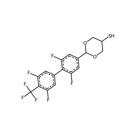 Fc1cc(C2OCC(S)CO2)cc(F)c1-c1cc(F)c(C(F)(F)F)c(F)c1